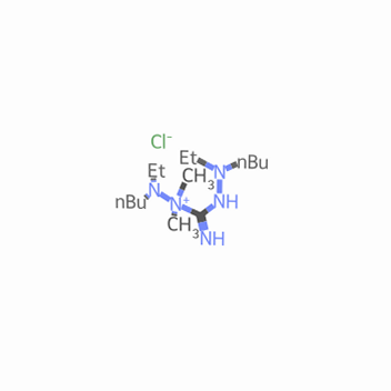 CCCCN(CC)NC(=N)[N+](C)(C)N(CC)CCCC.[Cl-]